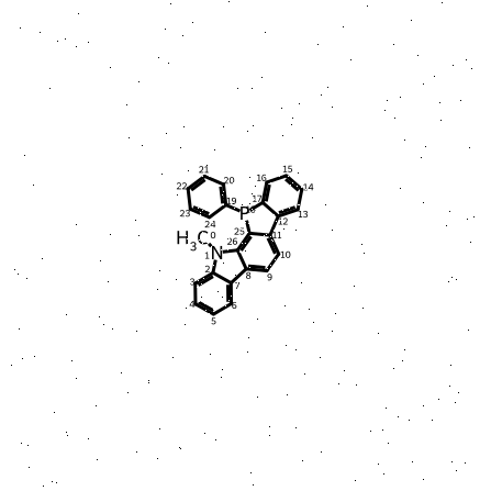 Cn1c2ccccc2c2ccc3c4ccccc4p(-c4ccccc4)c3c21